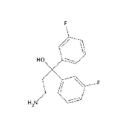 NCCC(O)(c1cccc(F)c1)c1cccc(F)c1